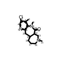 Cc1c(Cl)cnc2c1N(C)C(=O)C1CN(C)CCCC1C2